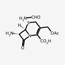 CC(=O)OCC1=C(C(=O)O)N2C(=O)[C@H](N)[C@H]2SC1.NC=O